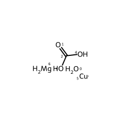 O.O=C(O)O.[Cu].[MgH2]